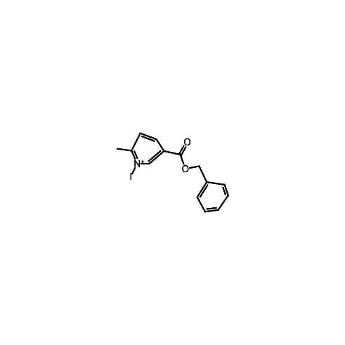 Cc1ccc(C(=O)OCc2ccccc2)c[n+]1I